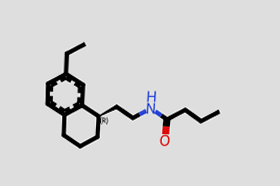 CCCC(=O)NCC[C@H]1CCCc2ccc(CC)cc21